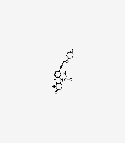 CN1CCC(OCC#Cc2cccc(N(C=O)C3CCC(=O)NC3=O)c2N(C)C)CC1